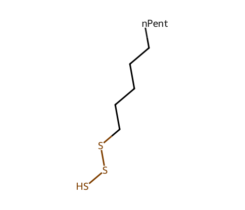 CCCCCCCCCCSSS